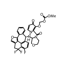 COC(=O)OCOc1c2n(ccc1=O)N([C@@H]1c3ccccc3-c3occ4c3-c3c1ccc(F)c3C(F)(F)C4)[C@@H]1COCCN1C2=O